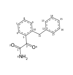 NC(=O)C(=O)c1ccccc1Cc1ccccc1